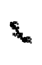 C=C(CCC(=O)NCc1ccoc1C)NC(=O)COc1ccc(C)c(C)c1